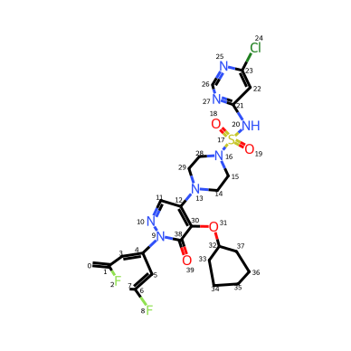 C=C(F)/C=C(\C=C(/C)F)n1ncc(N2CCN(S(=O)(=O)Nc3cc(Cl)ncn3)CC2)c(OC2CCCCC2)c1=O